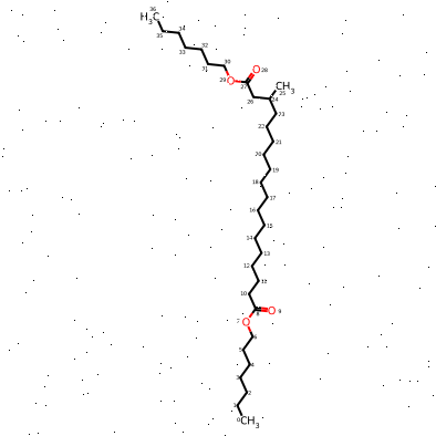 CCCCCCCOC(=O)CCCCCCCCCCCCCCC(C)CC(=O)OCCCCCCC